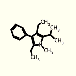 CCc1c(-c2ccccc2)c(CC)n(C)c1C(C)C